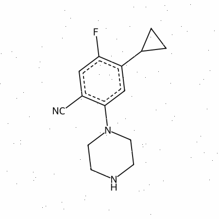 N#Cc1cc(F)c(C2CC2)cc1N1CCNCC1